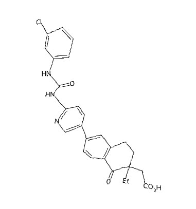 CCC1(CC(=O)O)CCc2cc(-c3ccc(NC(=O)Nc4cccc(Cl)c4)nc3)ccc2C1=O